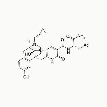 CC(=O)C[C@H](NC(=O)c1cc2c([nH]c1=O)C[C@]13CCN(CC4CC4)[C@H](Cc4ccc(O)cc41)[C@]3(O)C2)C(N)=O